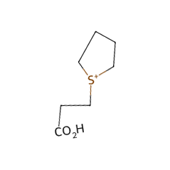 O=C(O)CC[S+]1CCCC1